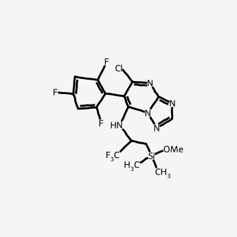 CO[Si](C)(C)CC(Nc1c(-c2c(F)cc(F)cc2F)c(Cl)nc2ncnn12)C(F)(F)F